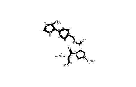 CO[C@@H]1C[C@@H](C(=O)NCc2ccc(-c3scnc3C)cc2)N(C(=O)[C@H](CC(C)C)NC(C)=O)C1